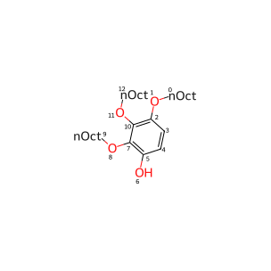 CCCCCCCCOc1ccc(O)c(OCCCCCCCC)c1OCCCCCCCC